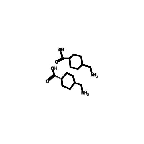 NCC1CCC(C(=O)O)CC1.NC[C@H]1CC[C@H](C(=O)O)CC1